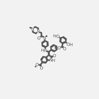 COC(=O)c1ccc2c(c1)NC(=O)C2=C(Nc1ccc(N(C)C(=O)CN2CCN(C)CC2)cc1)c1ccccc1.O=C(O)c1cc(O)ccc1O